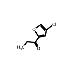 CCC(=O)c1cc(Cl)co1